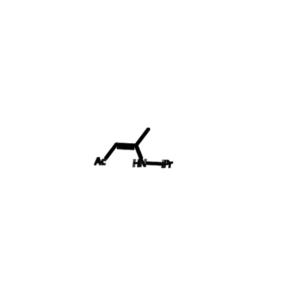 CC(=O)/C=C(/C)NC(C)C